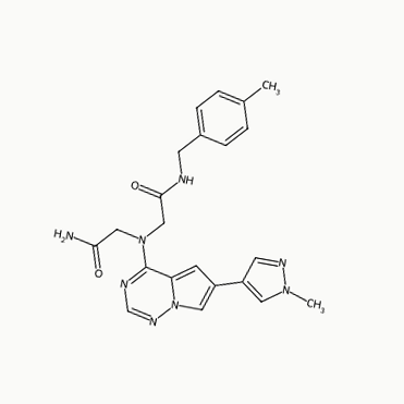 Cc1ccc(CNC(=O)CN(CC(N)=O)c2ncnn3cc(-c4cnn(C)c4)cc23)cc1